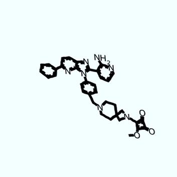 COc1c(N2CC3(CCN(Cc4ccc(-n5c(-c6cccnc6N)nc6ccc(-c7ccccc7)nc65)cc4)CC3)C2)c(=O)c1=O